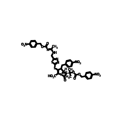 CC(=NC(=O)OCc1ccc([N+](=O)[O-])cc1)NCc1nnc(SC2=C(C(=O)O)N3C(=O)[C@@H](C(C)(C)OC(=O)OCc4ccc([N+](=O)[O-])cc4)[C@@H]3C2Cc2ccc([N+](=O)[O-])cc2)s1